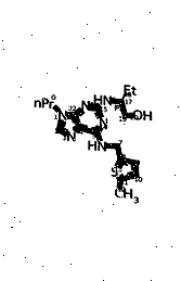 CCCn1cnc2c(NCc3ccc(C)s3)nc(N[C@H](CC)CO)nc21